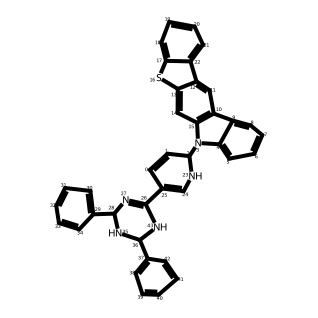 C1=CC(n2c3ccccc3c3cc4c(cc32)sc2ccccc24)NC=C1C1=NC(c2ccccc2)NC(c2ccccc2)N1